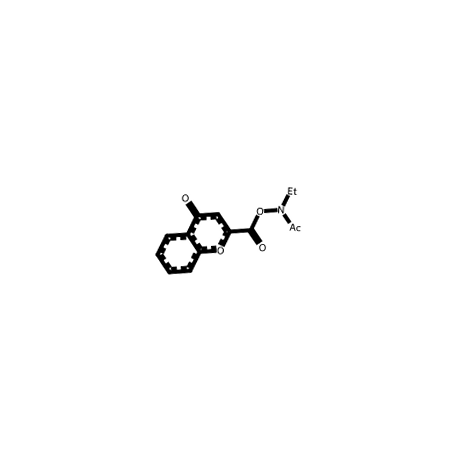 CCN(OC(=O)c1cc(=O)c2ccccc2o1)C(C)=O